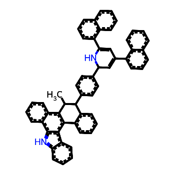 CC1c2c(c3c4ccccc4[nH]c3c3ccccc23)-c2ccccc2C1c1ccc(C2C=C(c3cccc4ccccc34)C=C(c3cccc4ccccc34)N2)cc1